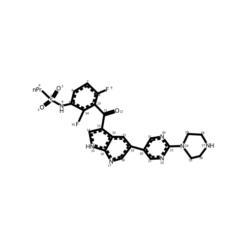 CCCS(=O)(=O)Nc1ccc(F)c(C(=O)c2c[nH]c3ncc(-c4cnc(N5CCNCC5)nc4)cc23)c1F